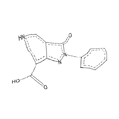 O=C(O)c1c[nH]cc2c(=O)n(-c3ccccc3)nc1-2